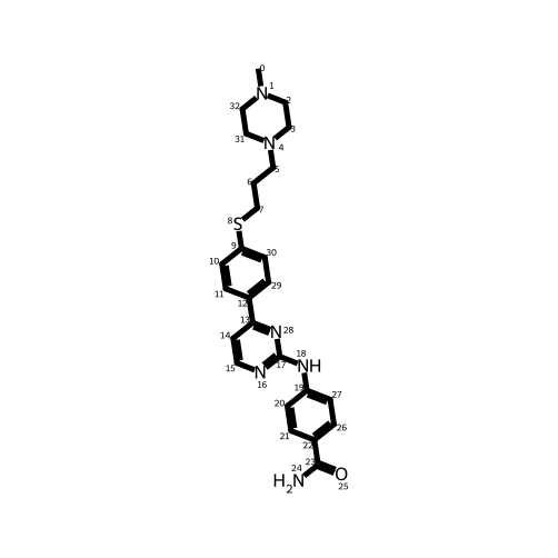 CN1CCN(CCCSc2ccc(-c3ccnc(Nc4ccc(C(N)=O)cc4)n3)cc2)CC1